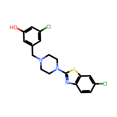 Oc1cc(Cl)cc(CN2CCN(c3nc4ccc(Cl)cc4s3)CC2)c1